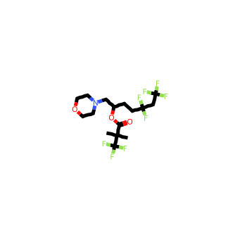 CC(C)(C(=O)OC(CCC(F)(F)CC(F)(F)F)CN1CCOCC1)C(F)(F)F